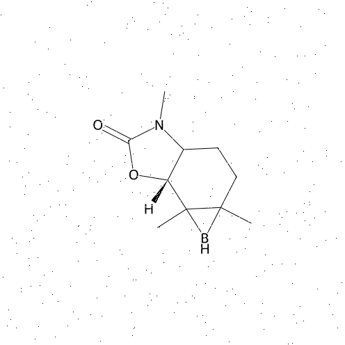 CN1C(=O)O[C@@H]2C1CCC1(C)BC21C